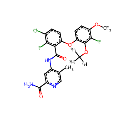 [2H]C([2H])([2H])Oc1c(Oc2ccc(Cl)c(F)c2C(=O)Nc2cc(C(N)=O)ncc2C)ccc(OC(F)(F)F)c1F